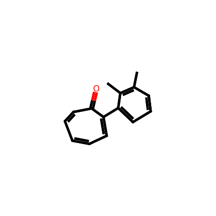 Cc1cccc(-c2cccccc2=O)c1C